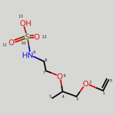 C=COCC(C)OCCNS(=O)(=O)O